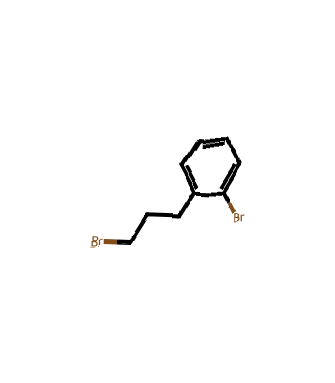 BrCCCc1ccccc1Br